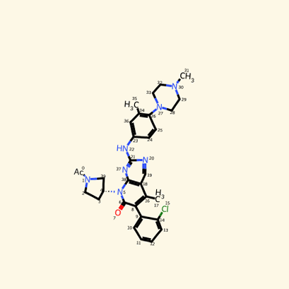 CC(=O)N1CC[C@@H](n2c(=O)c(-c3ccccc3Cl)c(C)c3cnc(Nc4ccc(N5CCN(C)CC5)c(C)c4)nc32)C1